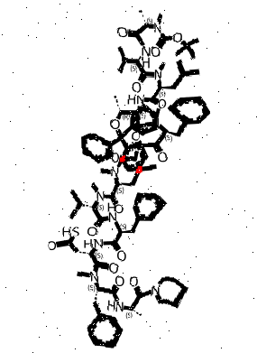 CC(C)C[C@@H](C(=O)N(C)[C@H](C(=O)N[C@@H](Cc1ccccc1)C(=O)N[C@@H](CC(=O)S)C(=O)N(C)[C@@H](Cc1ccccc1)C(=O)N[C@@H](C)C(=O)N1CCCCC1)C(C)C)N(C)C(=O)CNC(=O)[C@H](Cc1ccccc1)N(C)C(=O)[C@@H](NC(=O)[C@H](CC(C)C)N(C)C(=O)[C@@H](NC(=O)[C@H](C)N(C)C(=O)OC(C)(C)C)C(C)C)[C@@H](C)OC(c1ccccc1)(c1ccccc1)c1ccccc1